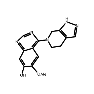 COc1cc2c(N3CCc4cn[nH]c4C3)ncnc2cc1O